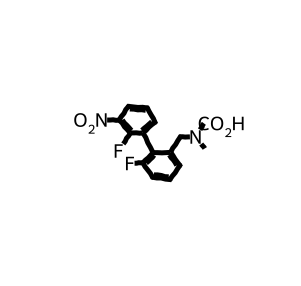 CN(Cc1cccc(F)c1-c1cccc([N+](=O)[O-])c1F)C(=O)O